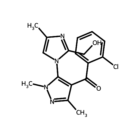 Cc1cn(-c2c(C(=O)c3ccccc3Cl)c(C)nn2C)c(CO)n1